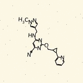 Cn1cc(CNc2cc(C#N)nc(OCC3CC3c3ccccn3)n2)cn1